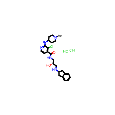 CC(=O)N1CCC(Nc2nccc(C(=O)NC[C@@H](O)CNC3Cc4ccccc4C3)c2Cl)CC1.Cl.Cl